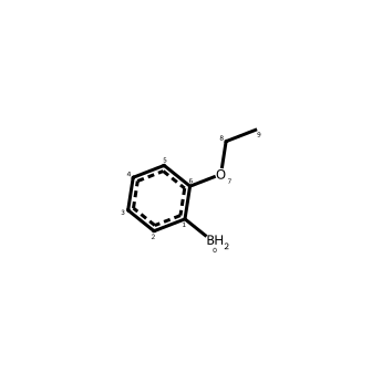 Bc1ccccc1OCC